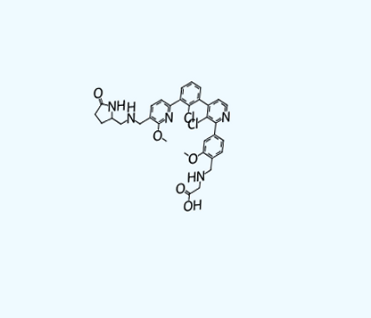 COc1cc(-c2nccc(-c3cccc(-c4ccc(CNCC5CCC(=O)N5)c(OC)n4)c3Cl)c2Cl)ccc1CNCC(=O)O